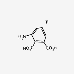 Nc1cccc(C(=O)O)c1C(=O)O.[Ti]